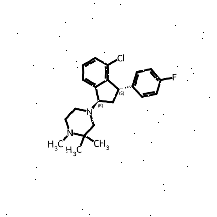 CN1CCN([C@@H]2C[C@@H](c3ccc(F)cc3)c3c(Cl)cccc32)CC1(C)C